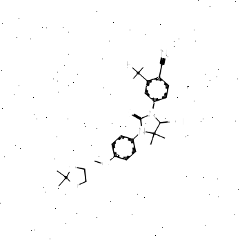 CC1(C)OC[C@@H](COc2ccc(N3C(=S)N(c4ccc(C#N)c(C(F)(F)F)c4)C(O)C3(C)C)cc2)O1